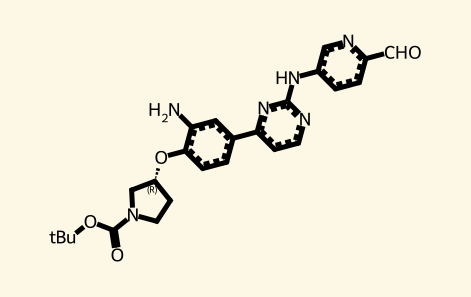 CC(C)(C)OC(=O)N1CC[C@@H](Oc2ccc(-c3ccnc(Nc4ccc(C=O)nc4)n3)cc2N)C1